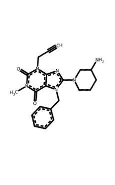 C#CCn1c(=O)n(C)c(=O)c2c1nc(N1CCCC(N)C1)n2Cc1ccccc1